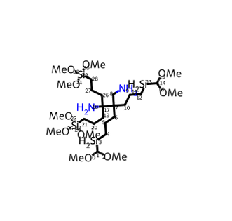 COC(OC)[SiH2]CCCC(CN)(CCC[SiH2]C(OC)OC)C(N)(CCC[Si](OC)(OC)OC)CCC[Si](OC)(OC)OC